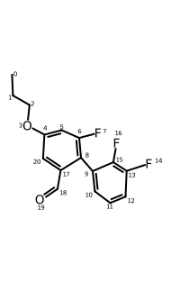 CCCOc1cc(F)c(-c2cccc(F)c2F)c(C=O)c1